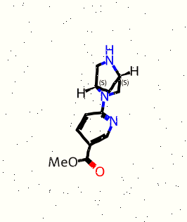 COC(=O)c1ccc(N2C[C@@H]3C[C@H]2CN3)nc1